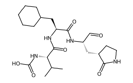 CC(C)[C@H](NC(=O)O)C(=O)N[C@@H](CC1CCCCC1)C(=O)N[C@H](C=O)C[C@@H]1CCNC1=O